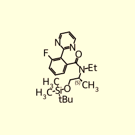 CCN(C(=O)c1cccc(F)c1-c1ncccn1)[C@@H](C)CO[Si](C)(C)C(C)(C)C